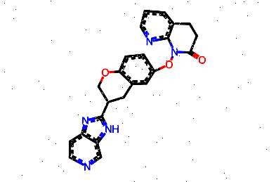 O=C1CCc2cccnc2N1Oc1ccc2c(c1)CC(c1nc3ccncc3[nH]1)CO2